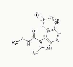 CCNC(=O)c1c(C)[nH]c2ccc(O)c(CN(C)C)c12